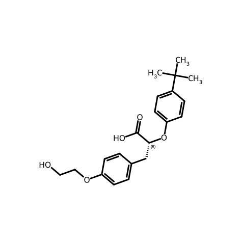 CC(C)(C)c1ccc(O[C@H](Cc2ccc(OCCO)cc2)C(=O)O)cc1